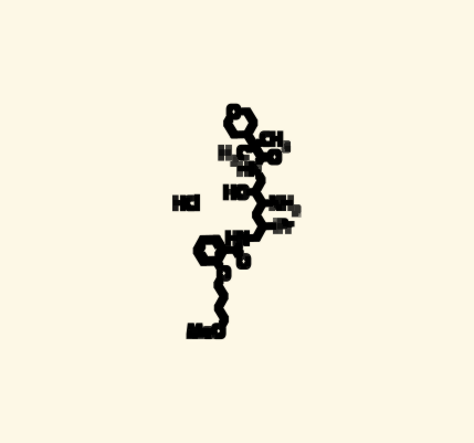 COCCCCOc1ccccc1C(=O)NCC(CC(N)C(O)CNC(=O)C(C)(C)C1CCOCC1)C(C)C.Cl